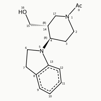 CC(=O)N1CC[C@@H](N2CCc3ccccc32)[C@H](CO)C1